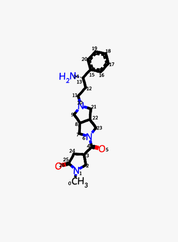 CN1CC(C(=O)N2CC3CN(CC[C@H](N)c4ccccc4)CC3C2)CC1=O